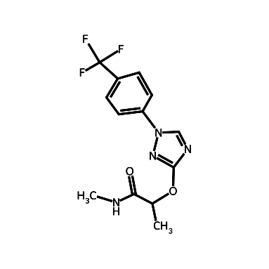 CNC(=O)C(C)Oc1ncn(-c2ccc(C(F)(F)F)cc2)n1